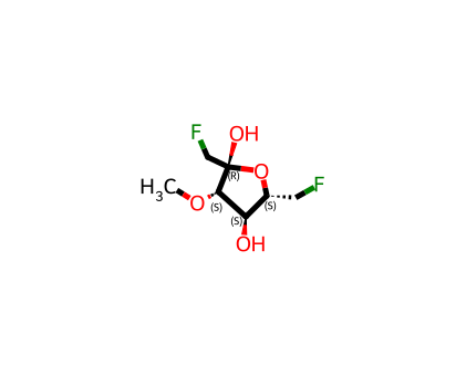 CO[C@H]1[C@H](O)[C@@H](CF)O[C@@]1(O)CF